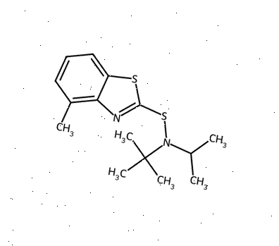 Cc1cccc2sc(SN(C(C)C)C(C)(C)C)nc12